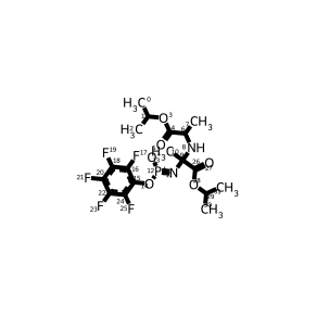 CC(C)OC(=O)C(C)NC(C)(/N=[P+](\[O-])Oc1c(F)c(F)c(F)c(F)c1F)C(=O)OC(C)C